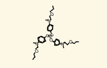 CCCOCCN(C)c1ccc(OB(Oc2ccc(N(C)CCOCCC)cc2)Oc2ccc(N(C)CCOCCC)cc2)cc1